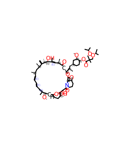 C=C1[C@H](C)C[C@H](C)/C=C/C=C/C=C(\C)[C@@H](OC)C[C@@H]2CC[C@@H](C)[C@@](O)(O2)C(=O)C(=O)N2CCCC[C@H]2C(=O)O[C@H]([C@H](C)C[C@@H]2CC[C@@H](OC(=O)C(C)(COC(C)C)COC(C)C)[C@H](OC)C2)CC(=O)[C@H](C)/C=C(\C)[C@@H](O)[C@H]1C